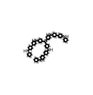 C1=CC(NC2C=CC(C3C=CC(NC4C=CC(C5C(C6C=CC(NC7C=CC(C8C=CC(NC9C=CCCC9)CC8)CC7)CC6)N5C5C=CC(NC6C=CC(C7C=CC(NC8C=CCCC8)CC7)CC6)CC5)CC4)CC3)CC2)CCC1